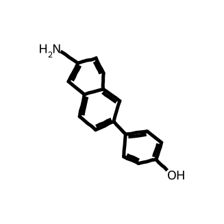 Nc1ccc2cc(-c3ccc(O)cc3)ccc2c1